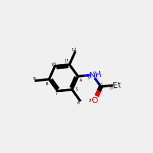 CCC(=O)Nc1c(C)cc(C)cc1C